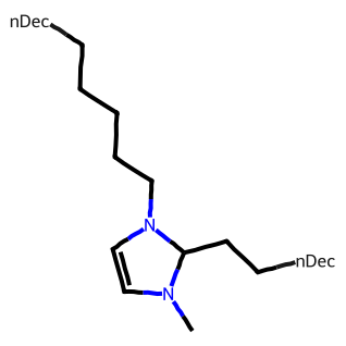 CCCCCCCCCCCCCCCN1C=CN(C)C1CCCCCCCCCCCC